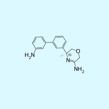 C[C@]1(c2cccc(-c3cccc(N)c3)c2)COCC(N)=N1